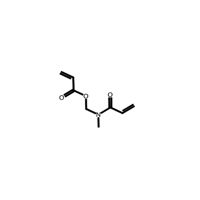 C=CC(=O)OCN(C)C(=O)C=C